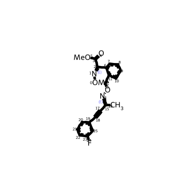 CO/N=C(/C(=O)OC)c1ccccc1CO/N=C(\C)C#Cc1cccc(F)c1